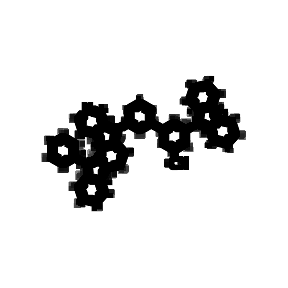 N#Cc1cc(-c2cccc(-n3c4cnccc4c4c3ccc3c5ccccc5n(-c5ccccc5)c34)c2)cc(-n2c3ccccc3c3ccccc32)c1